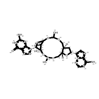 Nc1nc2c(nnn2[C@@H]2SC3OC(O)OC[C@H]4C[C@H](c5cnc6c(N)ncnn56)O[C@@H]4COP(S)O[C@@H]2[C@@H]3O)c(=O)[nH]1